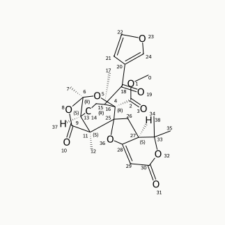 COC(=O)[C@@]12O[C@]3(C)OC(=O)[C@@](C)([C@@H]3CC[C@@]1(C)C(=O)c1ccoc1)C21C[C@@H]2C(=CC(=O)OC2(C)C)O1